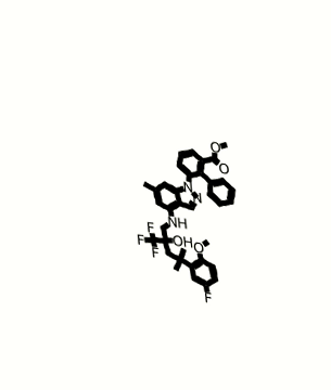 COC(=O)c1cccc(-n2ncc3c(NCC(O)(CC(C)(C)c4cc(F)ccc4OC)C(F)(F)F)cc(C)cc32)c1-c1ccccc1